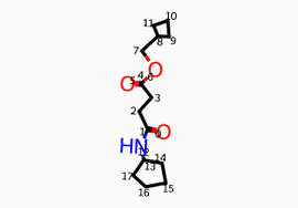 O=C(CCC(=O)OCC1CCC1)NC1CCCC1